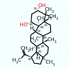 C=C(C)[C@@H]1CC[C@]2(C)CC[C@]3(C)[C@H](CC[C@@H]4[C@@]5(C)[C@H](O)C[C@H](O)C(C)(C)[C@@H]5CC[C@]43C)[C@@H]12